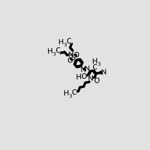 CCCCCCn1c(O)c(/N=N/c2ccc(S(=O)(=O)N(CCCC)CCCC)cc2)c(C)c(C#N)c1=O